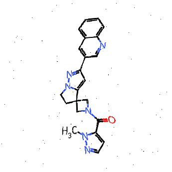 Cn1nccc1C(=O)N1CC2(CCn3nc(-c4cnc5ccccc5c4)cc32)C1